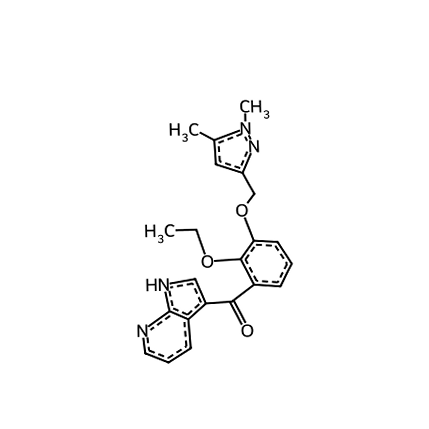 CCOc1c(OCc2cc(C)n(C)n2)cccc1C(=O)c1c[nH]c2ncccc12